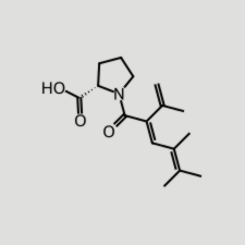 C=C(C)/C(=C\C(C)=C(C)C)C(=O)N1CCC[C@H]1C(=O)O